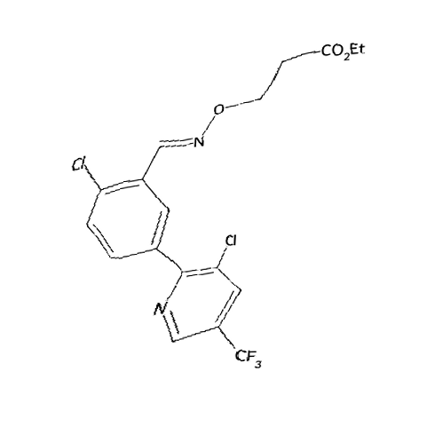 CCOC(=O)CCON=Cc1cc(-c2ncc(C(F)(F)F)cc2Cl)ccc1Cl